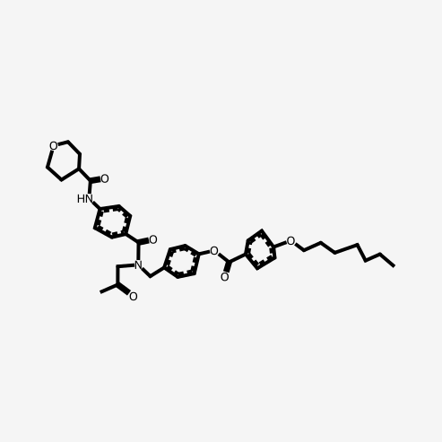 CCCCCCCOc1ccc(C(=O)Oc2ccc(CN(CC(C)=O)C(=O)c3ccc(NC(=O)C4CCOCC4)cc3)cc2)cc1